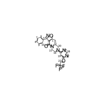 Cc1onc(-c2ccccc2)c1C(=O)N1CCN(c2cc(OCC(F)(F)F)ncn2)CC1